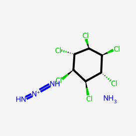 Cl[C@H]1[C@H](Cl)[C@@H](Cl)[C@@H](Cl)[C@H](Cl)[C@H]1Cl.N.N=[N+]=N